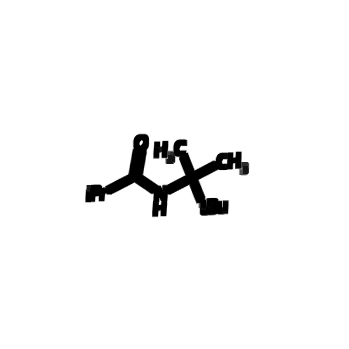 CC(C)C(=O)NC(C)(C)C(C)(C)C